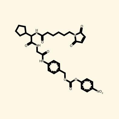 O=C(CNC(=O)C(NC(=O)CCCCCN1C(=O)C=CC1=O)C1CCCC1)Nc1ccc(COC(=O)Oc2ccc([N+](=O)[O-])cc2)cc1